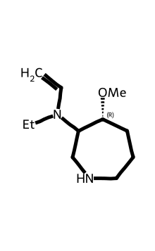 C=CN(CC)C1CNCCC[C@H]1OC